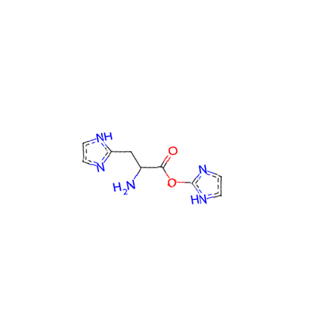 NC(Cc1ncc[nH]1)C(=O)Oc1ncc[nH]1